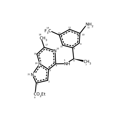 CCOC(=O)c1cc2c(N[C@H](C)c3cc(N)cc(C(F)(F)F)c3)nc(C)cn2n1